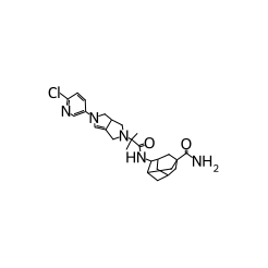 CC(C)(C(=O)NC1C2CC3CC1CC(C(N)=O)(C3)C2)N1CC2=CN(c3ccc(Cl)nc3)CC2C1